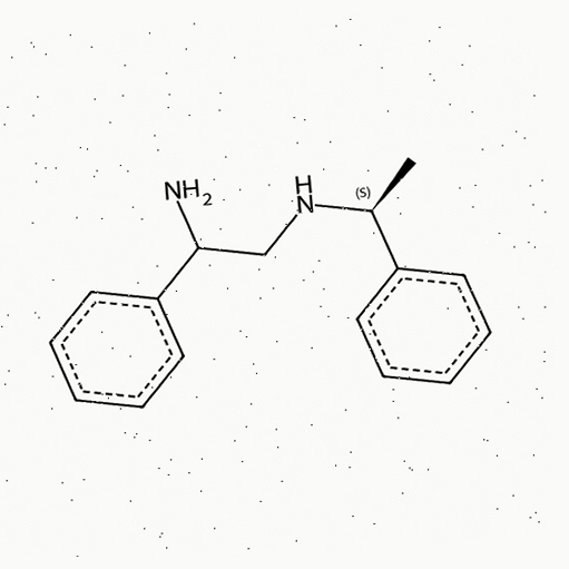 C[C@H](NCC(N)c1ccccc1)c1ccccc1